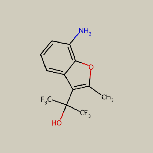 Cc1oc2c(N)cccc2c1C(O)(C(F)(F)F)C(F)(F)F